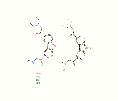 CCN(CC)CC(=O)c1ccc2oc3ccc(C(=O)CN(CC)CC)cc3c2c1.CCN(CC)CC(=O)c1ccc2oc3ccc(C(=O)CN(CC)CC)cc3c2c1.Cl.Cl.Cl.Cl.O